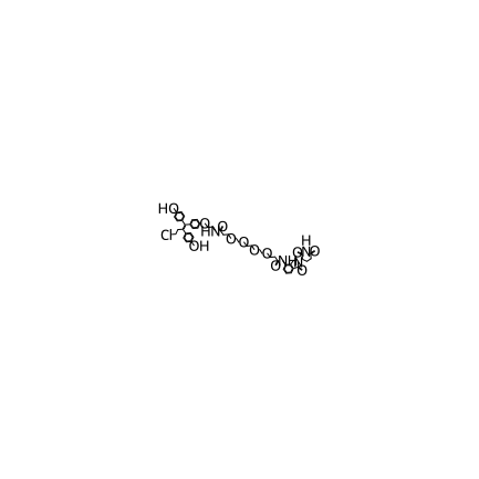 O=C(CCOCCOCCOCCOCCC(=O)Nc1cccc2c1CN(C1CCC(=O)NC1=O)C2=O)NCCOc1ccc(C(=C(CCCl)c2ccc(O)cc2)c2ccc(O)cc2)cc1